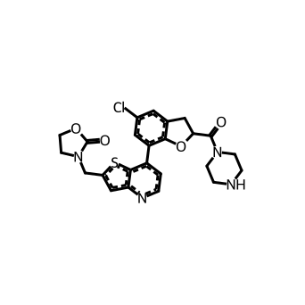 O=C1OCCN1Cc1cc2nccc(-c3cc(Cl)cc4c3OC(C(=O)N3CCNCC3)C4)c2s1